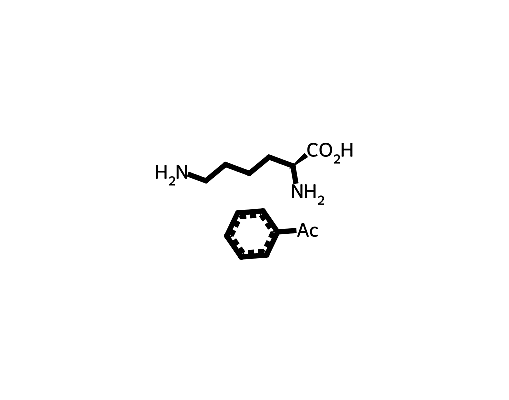 CC(=O)c1ccccc1.NCCCC[C@H](N)C(=O)O